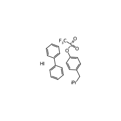 CC(C)Cc1ccc(OS(=O)(=O)C(F)(F)F)cc1.I.c1ccc(-c2ccccc2)cc1